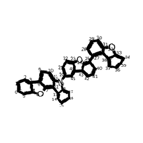 c1ccc2c(c1)oc1c2ccc2c1c1ccccc1n2-c1ccc2oc3c(-c4cccc5oc6ccccc6c45)cccc3c2c1